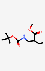 CCC(CNC(=O)OC(C)(C)C)C(=O)OC